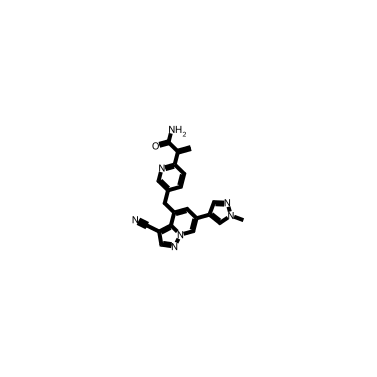 C=C(C(N)=O)c1ccc(Cc2cc(-c3cnn(C)c3)cn3ncc(C#N)c23)cn1